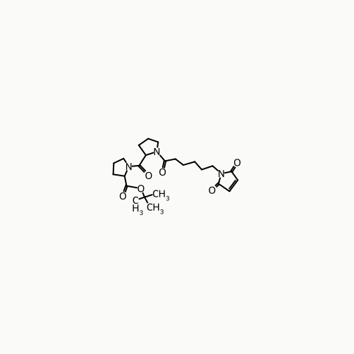 CC(C)(C)OC(=O)C1CCCN1C(=O)C1CCCN1C(=O)CCCCCN1C(=O)C=CC1=O